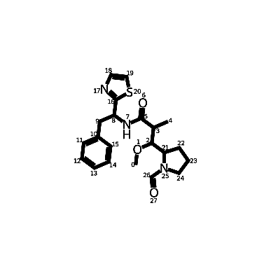 COC(C(C)C(=O)NC(Cc1ccccc1)c1nccs1)C1CCCN1C=O